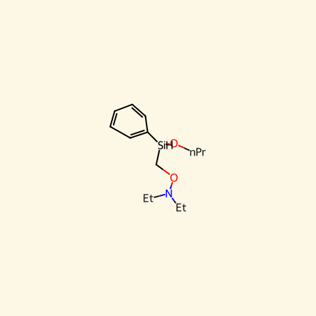 CCCO[SiH](CON(CC)CC)c1ccccc1